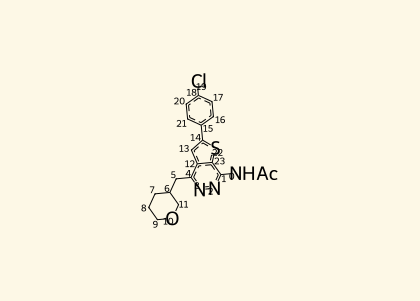 CC(=O)Nc1nnc(CC2CCCOC2)c2cc(-c3ccc(Cl)cc3)sc12